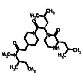 CCC(C)N(C)C(=O)CC1CCN(C(=O)[C@H](CC(C)C)N2CCN[C@@H](CC(C)C)C2=O)CC1